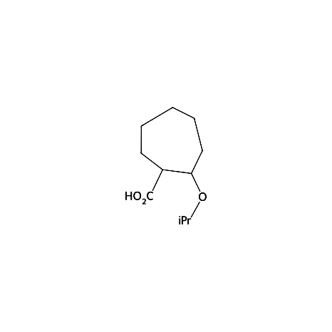 CC(C)OC1CCCCCC1C(=O)O